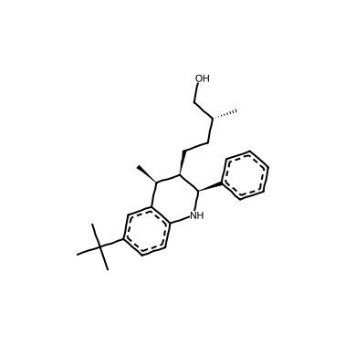 C[C@@H](CO)CC[C@@H]1[C@H](C)c2cc(C(C)(C)C)ccc2N[C@@H]1c1ccccc1